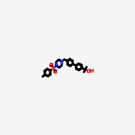 Cc1ccc(S(=O)(=O)N2CCN(Cc3ccc(-c4ccc(C(C)(C)O)cc4)cc3)CC2)cc1